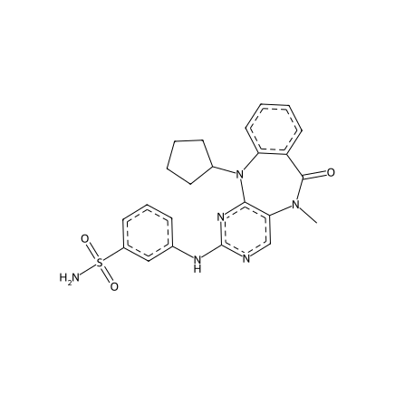 CN1C(=O)c2ccccc2N(C2CCCC2)c2nc(Nc3cccc(S(N)(=O)=O)c3)ncc21